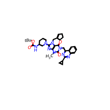 Cn1c(=O)n(Cc2nc(C3CC3)nc3ccccc23)c(=O)c2c1nc(N1CCCC(NC(=O)OC(C)(C)C)C1)n2CC1=CCCC1